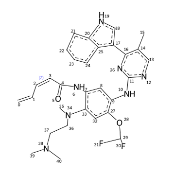 C=C/C=C\C(=O)Nc1cc(Nc2ncc(C)c(-c3c[nH]c4ccccc34)n2)c(OC(F)F)cc1N(C)CCN(C)C